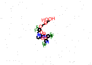 CC12CCCN1N(Cc1ccc(OCCCOC[C@@H](O)CO)c(F)c1F)C(=O)C(C(=O)Nc1ccc(C(F)(F)F)cc1-c1ccc(C(F)(F)F)nc1)=C2O